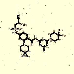 C#CC(O)CS(=O)(=O)Nc1ccc(C(=O)Nc2cc(C)nc(N3CCC(F)(F)CC3)n2)c(N2CCC3(CC2)CC3)c1